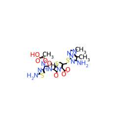 Cc1c(N)nc(SCC2=C(C(=O)[O-])N3C(=O)C(NC(=O)/C(=N\O[C@H](C)C(=O)O)c4csc(N)n4)[C@@H]3SC2)[n+]2ncn(C)c12